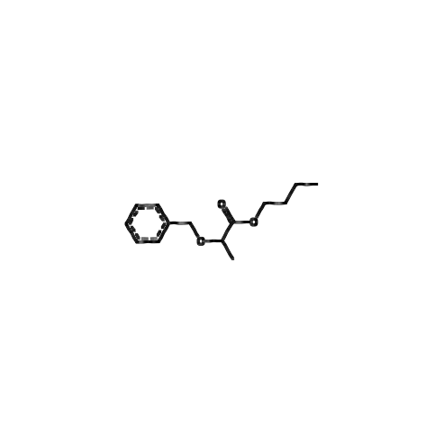 CCCCOC(=O)C(C)OCc1ccccc1